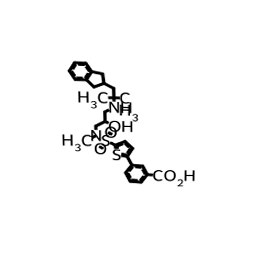 CN(CC(O)CNC(C)(C)CC1Cc2ccccc2C1)S(=O)(=O)c1ccc(-c2cccc(C(=O)O)c2)s1